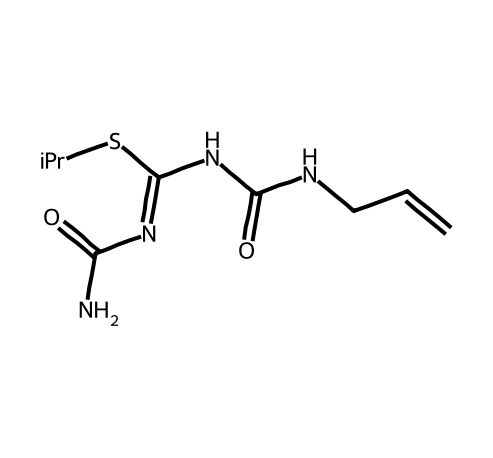 C=CCNC(=O)NC(=NC(N)=O)SC(C)C